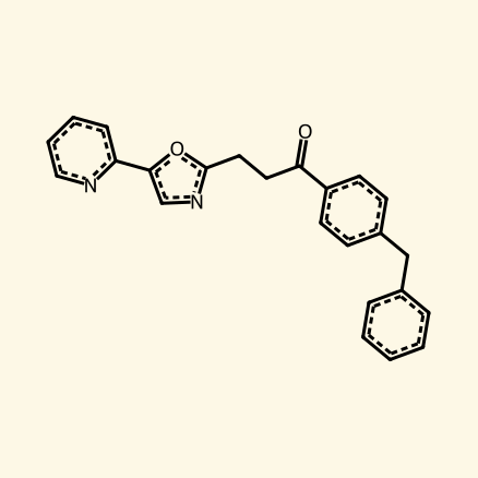 O=C(CCc1ncc(-c2ccccn2)o1)c1ccc(Cc2ccccc2)cc1